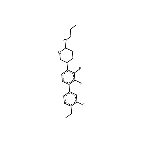 CCCOC1CCC(c2ccc(-c3ccc(CC)c(F)c3)c(F)c2F)CO1